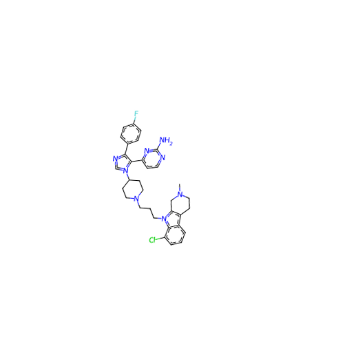 CN1CCc2c(n(CCCN3CCC(n4cnc(-c5ccc(F)cc5)c4-c4ccnc(N)n4)CC3)c3c(Cl)cccc23)C1